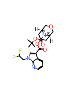 CC(C)(C)OC(=O)N1[C@@H]2COC[C@H]1C[C@@H](OC(=O)c1cn(CC(F)F)c3ncccc13)C2